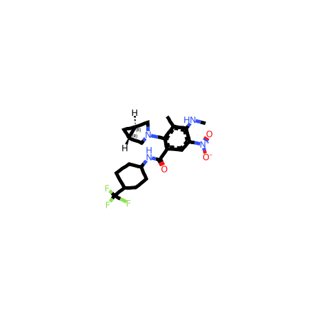 CNc1c([N+](=O)[O-])cc(C(=O)NC2CCC(C(F)(F)F)CC2)c(N2C[C@@H]3C[C@H]3C2)c1C